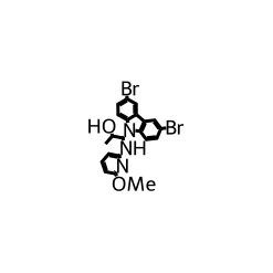 COc1cccc(NC(C(C)O)n2c3ccc(Br)cc3c3cc(Br)ccc32)n1